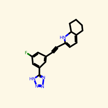 Fc1cc(C#CC2=CC=C3CCCCC3N2)cc(-c2nnn[nH]2)c1